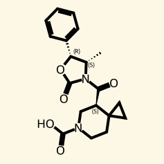 C[C@H]1[C@@H](c2ccccc2)OC(=O)N1C(=O)[C@@H]1CN(C(=O)O)CCC12CC2